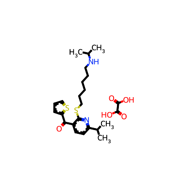 CC(C)NCCCCCCSc1nc(C(C)C)ccc1C(=O)c1cccs1.O=C(O)C(=O)O